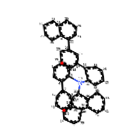 c1ccc(-c2ccccc2N(c2ccccc2-c2cccc(-c3cccc4ccccc34)c2)c2cc3ccccc3c3ccccc23)cc1